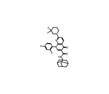 O=C(NC12CC3CC(CC(C3)C1)C2)c1cn(-c2ccc(F)cc2F)c2nc(N3CCCC(F)(F)C3)ccc2c1=O